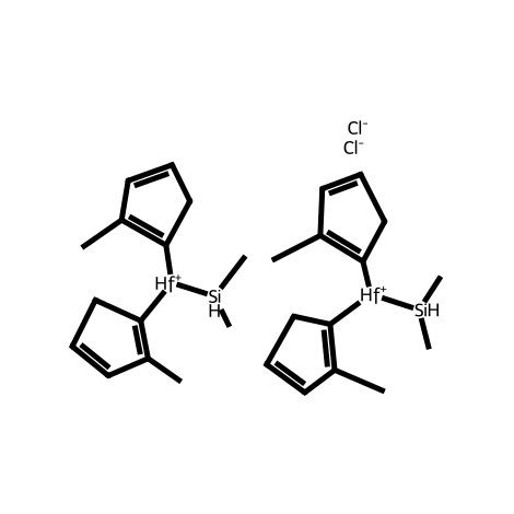 CC1=[C]([Hf+]([C]2=C(C)C=CC2)[SiH](C)C)CC=C1.CC1=[C]([Hf+]([C]2=C(C)C=CC2)[SiH](C)C)CC=C1.[Cl-].[Cl-]